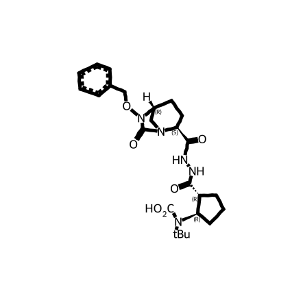 CC(C)(C)N(C(=O)O)[C@@H]1CCC[C@H]1C(=O)NNC(=O)[C@@H]1CC[C@@H]2CN1C(=O)N2OCc1ccccc1